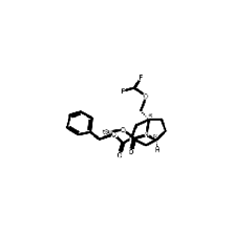 CC(C)(C)OC(=O)N1[C@H]2CC[C@]1(COC(F)F)CN(C(=O)OCc1ccccc1)C2